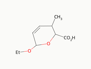 CCOC1C=CC(C)C(C(=O)O)O1